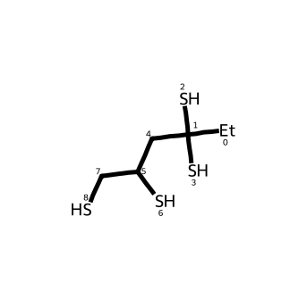 CCC(S)(S)CC(S)CS